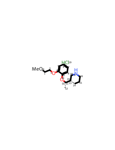 COCCOc1ccccc1O[C@@H](C)[C@H]1CCCNC1.Cl